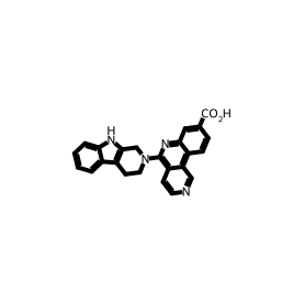 O=C(O)c1ccc2c(c1)nc(N1CCc3c([nH]c4ccccc34)C1)c1ccncc12